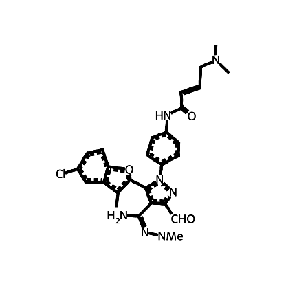 CN/N=C(/N)c1c(C=O)nn(-c2ccc(NC(=O)/C=C/CN(C)C)cc2)c1-c1oc2ccc(Cl)cc2c1C